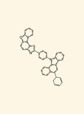 C1=CCC(c2cc3c4ccccc4n(-c4ccc(-c5nc6ccc7oc8ccccc8c7c6s5)cc4)c3c3ccccc23)C=C1